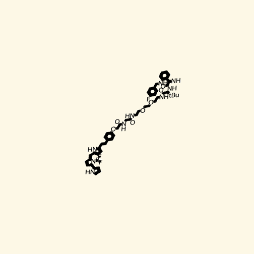 CC(C)(C)C(NC(=O)C(=N)c1ccccc1NCc1ccc(F)cc1)C(=O)NCCOCCOCCNC(=O)CNC(=O)COc1ccc(/C=C/c2ccc(/C=C3/C=CC(c4ccc[nH]4)=[N+]3B(F)F)[nH]2)cc1